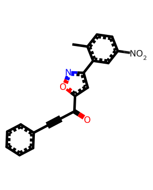 Cc1ccc([N+](=O)[O-])cc1-c1cc(C(=O)C#Cc2ccccc2)on1